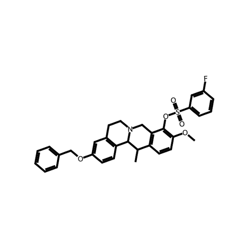 COc1ccc2c(c1OS(=O)(=O)c1cccc(F)c1)CN1CCc3cc(OCc4ccccc4)ccc3C1C2C